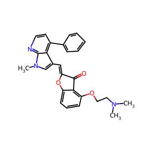 CN(C)CCOc1cccc2c1C(=O)/C(=C/c1cn(C)c3nccc(-c4ccccc4)c13)O2